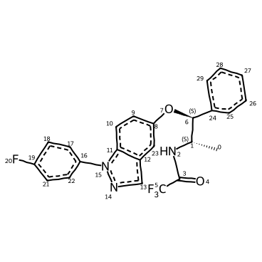 C[C@H](NC(=O)C(F)(F)F)[C@@H](Oc1ccc2c(cnn2-c2ccc(F)cc2)c1)c1ccccc1